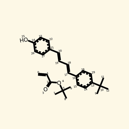 C=CC(=O)OC(C)(C)C.CC(C)(C)c1ccc(C=CC=Cc2ccc(O)cc2)cc1